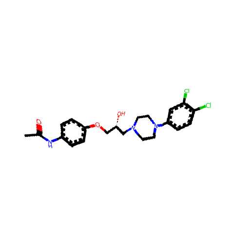 CC(=O)Nc1ccc(OC[C@H](O)CN2CCN(c3ccc(Cl)c(Cl)c3)CC2)cc1